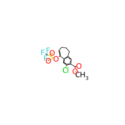 COC(=O)c1cc2c(cc1Cl)C(OS(=O)(=O)C(F)(F)F)=CCCC2